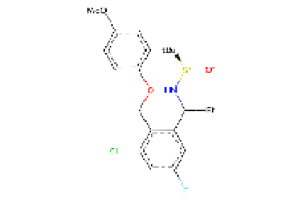 CCC(N[S@+]([O-])C(C)(C)C)c1cc(F)cc(Cl)c1COc1ccc(OC)cc1